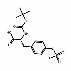 CC(C)(C)OC(=O)N[C@@H](Cc1ccc(OS(=O)(=O)F)cc1)C(=O)O